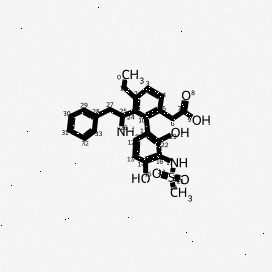 CCc1ccc(CC(=O)O)c(-c2ccc(O)c(NS(C)(=O)=O)c2O)c1C(N)Cc1ccccc1